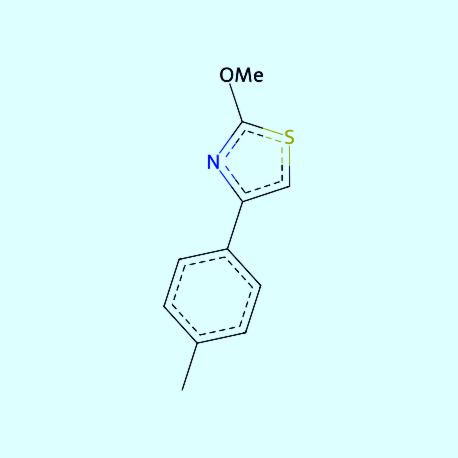 COc1nc(-c2ccc(C)cc2)cs1